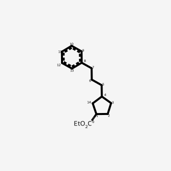 CCOC(=O)C1CCC(CCCc2ccccc2)C1